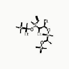 C=C[Si](C)(OC(C)(CC)[Si](C)(C)C)C(CC)C(CC)O[Si](C)(C)[C@@H](C)O[Si](C)(C)C